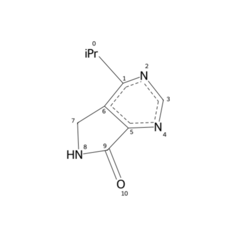 CC(C)c1ncnc2c1CNC2=O